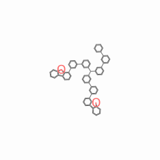 c1ccc(-c2cccc(-c3cccc(C(c4cccc(-c5cccc(-c6cccc7c6oc6ccccc67)c5)c4)c4cccc(-c5cccc(-c6cccc7c6oc6ccccc67)c5)c4)c3)c2)cc1